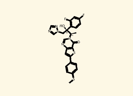 CSc1ccc(-c2cc3ncn([C@H](C)[C@](O)(Cn4cncn4)c4ccc(F)cc4F)c(=O)c3s2)cc1